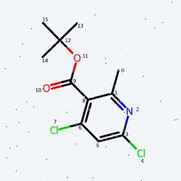 Cc1nc(Cl)cc(Cl)c1C(=O)OC(C)(C)C